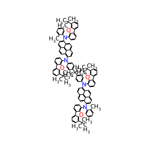 Cc1ccccc1N(c1ccc2ccc3c(N(c4ccc(C(C)(C)c5ccc(N(c6ccc7ccc8c(N(c9ccccc9C)c9cccc%10c9oc9c(C(C)(C)C)cccc9%10)ccc9ccc6c7c98)c6cccc7c6oc6c(C(C)(C)C)cccc67)cc5)cc4)c4cccc5c4oc4c(C(C)(C)C)cccc45)ccc4ccc1c2c43)c1cccc2c1oc1c(C(C)(C)C)cccc12